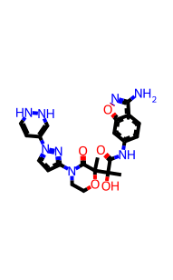 CC(O)(C(=O)Nc1ccc2c(N)noc2c1)C1(C)OCCN(c2ccn(C3=CNNC=C3)n2)C1=O